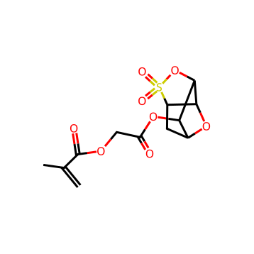 C=C(C)C(=O)OCC(=O)OC1C2CC3C(O2)C1OS3(=O)=O